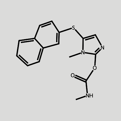 CNC(=O)Oc1ncc(Sc2ccc3ccccc3c2)n1C